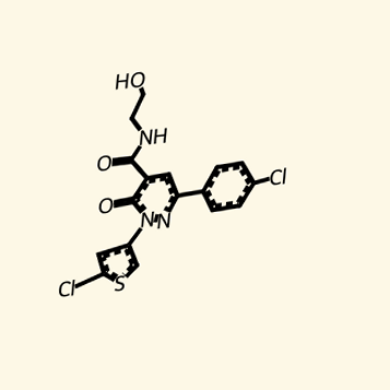 O=C(NCCO)c1cc(-c2ccc(Cl)cc2)nn(-c2csc(Cl)c2)c1=O